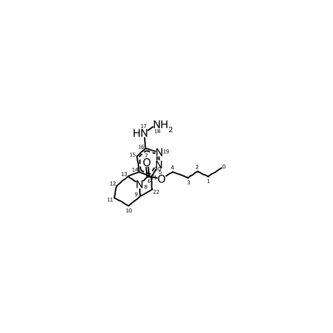 CCCCCOC(=O)N1C2CCCC1c1cc(NN)nnc1C2